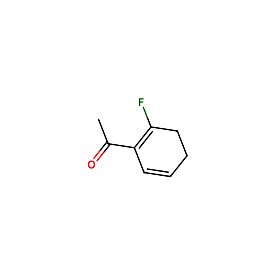 CC(=O)C1=C(F)CCC=C1